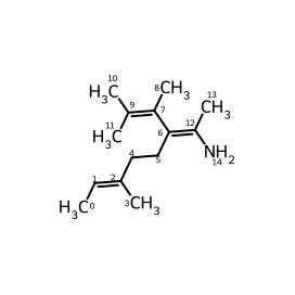 C/C=C(\C)CC/C(C(C)=C(C)C)=C(/C)N